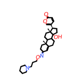 C[C@]12CCC(=NOCCCN3CCCCC3)C=C1CCC1C2CC[C@]2(C)[C@@H](c3ccc(=O)oc3)CC[C@]12O